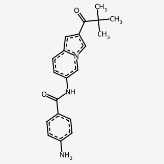 CC(C)(C)C(=O)c1cc2ccc(NC(=O)c3ccc(N)cc3)cn2c1